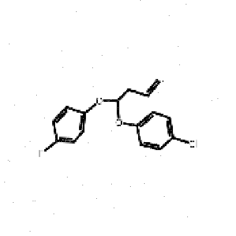 [CH]=CCC(Oc1ccc(F)cc1)Oc1ccc(Cl)cc1